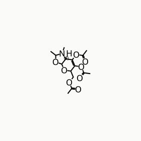 CC(=O)OCC1OC2OC(C)N(C)[C@H]2C(OC(C)=O)=C1OC(C)=O